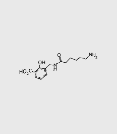 NCCCCCC(=O)NCc1cccc(C(=O)O)c1O